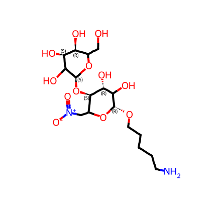 NCCCCCO[C@@H]1OC(C[N+](=O)[O-])[C@@H](O[C@@H]2OC(CO)[C@H](O)[C@H](O)C2O)[C@H](O)C1O